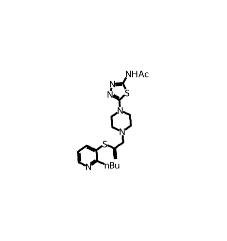 C=C(CN1CCN(c2nnc(NC(C)=O)s2)CC1)Sc1cccnc1CCCC